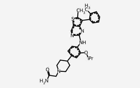 Cc1ccccc1-c1c(C)sc2cnc(Nc3ccc(C4CCN(CC(N)=O)CC4)cc3OC(C)C)nc12